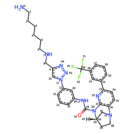 NCCCCCCNCc1cn(-c2cccc(NC(=O)N3c4nc(-c5cccc(C(F)(F)F)c5)ccc4N4CC[C@H]3C4)c2)nn1